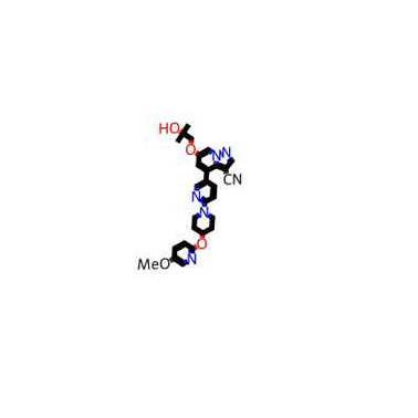 COc1ccc(OC2CCN(c3ccc(-c4cc(OCC(C)(C)O)cn5ncc(C#N)c45)cn3)CC2)nc1